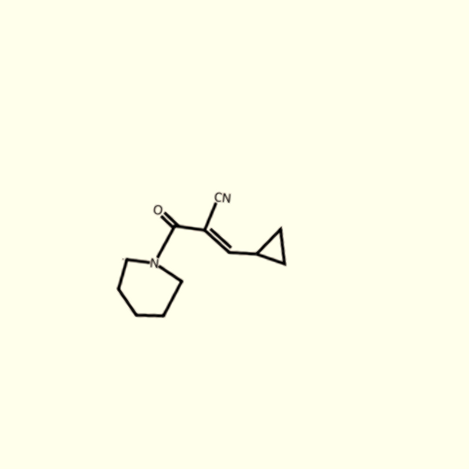 N#CC(=CC1CC1)C(=O)N1[CH]CCCC1